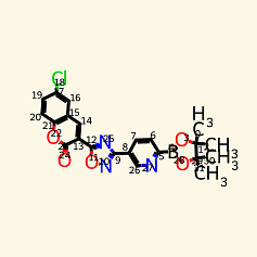 CC1(C)OB(c2ccc(-c3noc(-c4cc5cc(Cl)ccc5oc4=O)n3)cn2)OC1(C)C